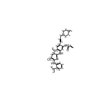 C=CC(=O)Nc1cc(Nc2ncc(Cl)c(Nc3ccccc3C(C)C)n2)c(OC)cc1C#CCN1CCN(C)CC1